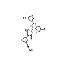 CCCCC#Cc1cncc(C(=O)N[C@@H](Cc2cc(F)cc(F)c2)[C@H](O)CNCc2cccc(CC)c2)c1